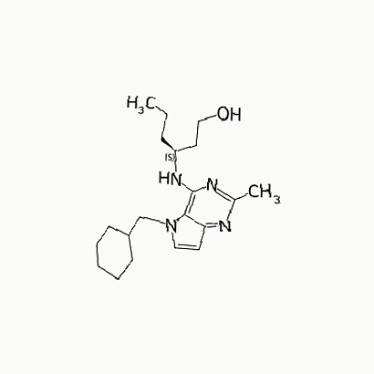 CCC[C@@H](CCO)Nc1nc(C)nc2ccn(CC3CCCCC3)c12